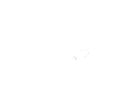 CCCCCCCCCCCCCCC[N+](CCCCCCCCCCCCCCC)(CCCCCCCCCCCCCCC)Cc1ccccc1